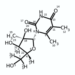 [2H]C([2H])(O)[C@@]1([2H])O[C@@H](n2c(C)c(C)c(=O)[nH]c2=O)[C@](C)(O)[C@]1([2H])O